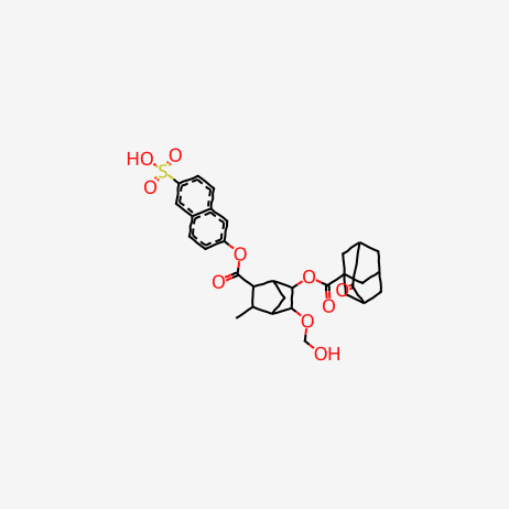 CC1C2CC(C(OC(=O)C34CC5CC(C3)C(=O)C(C5)C4)C2OCO)C1C(=O)Oc1ccc2cc(S(=O)(=O)O)ccc2c1